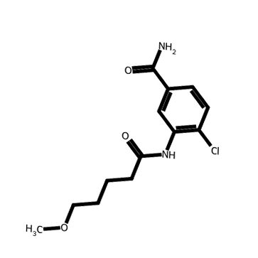 COCCCCC(=O)Nc1cc(C(N)=O)ccc1Cl